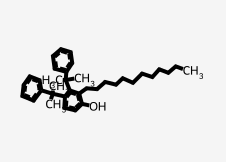 CCCCCCCCCCCCc1c(O)ccc(C(C)(C)c2ccccc2)c1C(C)(C)c1ccccc1